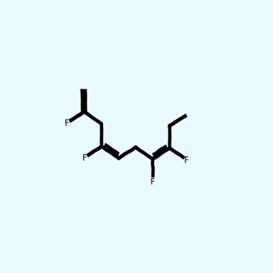 C=C(F)C/C(F)=C\C/C(F)=C(/F)CC